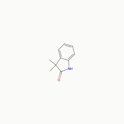 CC1(C)C(=O)Nc2cc[c]cc21